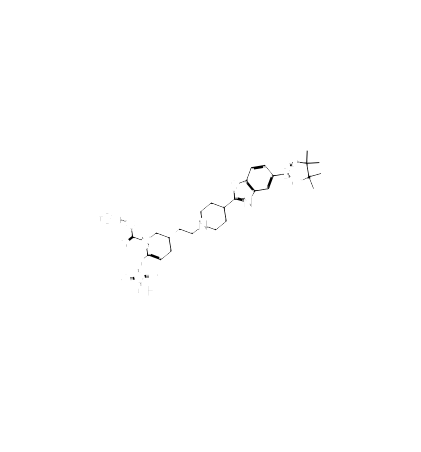 CC(C)(C)OC(=O)N1C[C@@H](CCN2CCC(c3nc4cc(B5OC(C)(C)C(C)(C)O5)ccc4s3)CC2)CC=C1OS(=O)(=O)C(F)(F)F